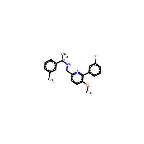 COc1ccc(CN[C@H](C)c2cccc(C)c2)nc1-c1cccc(F)c1